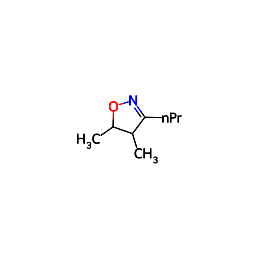 CCCC1=NOC(C)C1C